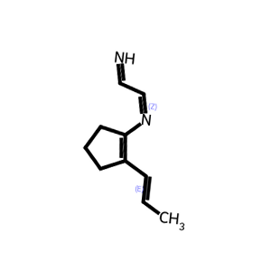 C/C=C/C1=C(/N=C\C=N)CCC1